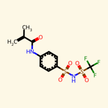 C=C(C)C(=O)Nc1ccc(S(=O)(=O)NS(=O)(=O)C(F)(F)F)cc1